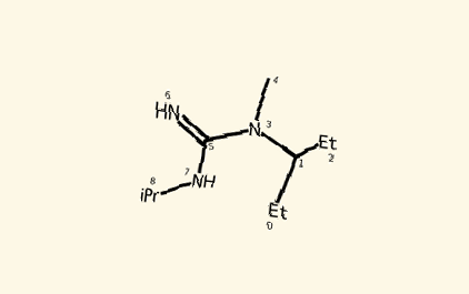 CCC(CC)N(C)C(=N)NC(C)C